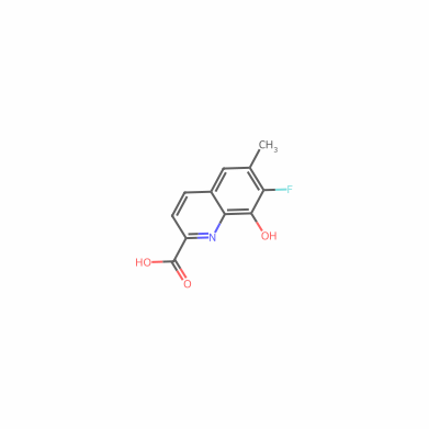 Cc1cc2ccc(C(=O)O)nc2c(O)c1F